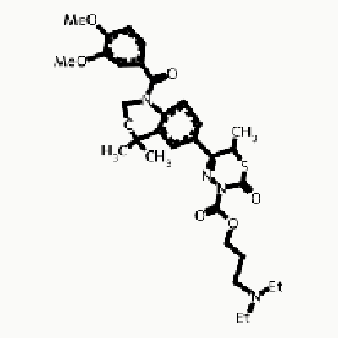 CCN(CC)CCCOC(=O)N1N=C(c2ccc3c(c2)C(C)(C)CCN3C(=O)c2ccc(OC)c(OC)c2)C(C)SC1=O